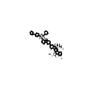 CC1(C)c2ccccc2-c2cc3c(cc21)-c1ccc(-c2ccc4oc5c(-c6nc(-c7ccccc7)nc(-c7ccc(-c8ccccc8)cc7)n6)cccc5c4c2)cc1C3(C)C